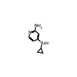 Nc1cc([AsH]C2CC2)ccn1